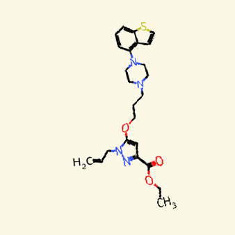 C=CCn1nc(C(=O)OCC)cc1OCCCN1CCN(c2cccc3sccc23)CC1